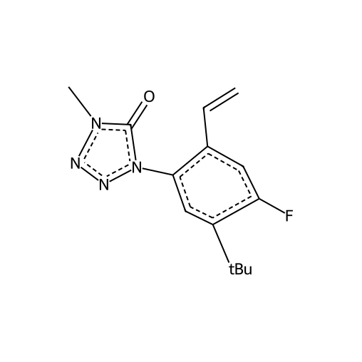 C=Cc1cc(F)c(C(C)(C)C)cc1-n1nnn(C)c1=O